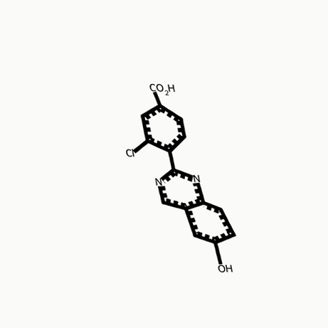 O=C(O)c1ccc(-c2ncc3cc(O)ccc3n2)c(Cl)c1